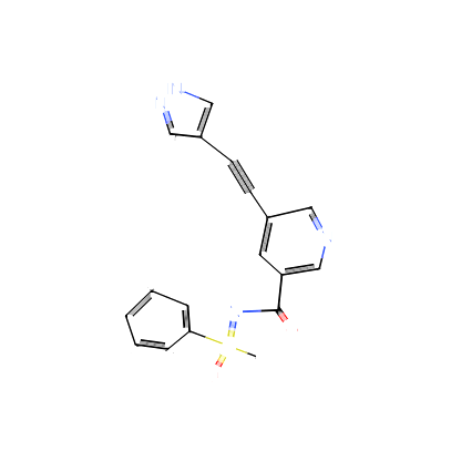 CS(=O)(=NC(=O)c1cncc(C#Cc2cn[nH]c2)c1)c1ccccc1